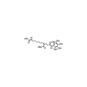 CCCCC(=O)N(CCCCCCNC(=O)CCC)CCC(=O)Nc1c(O)c(O)c(O)c(O)c1O